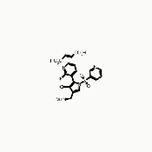 CNCc1cn(S(=O)(=O)c2cccnc2)c(-c2cccnc2F)c1Cl.O=C(O)C=CC(=O)O